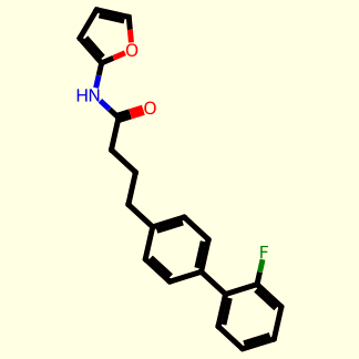 O=C(CCCc1ccc(-c2ccccc2F)cc1)Nc1ccco1